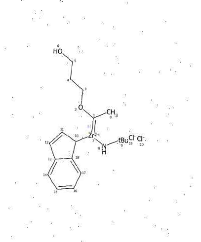 C/[C](OCCCO)=[Zr+2](\[NH]C(C)(C)C)[CH]1C=Cc2ccccc21.[Cl-].[Cl-]